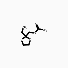 CCC1(COC(C)=O)OCCO1